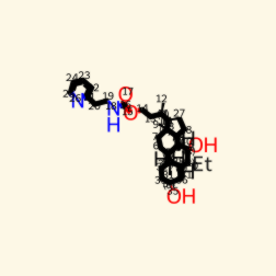 CC[C@H]1[C@@H](O)[C@@H]2[C@H](CC[C@]3(C)[C@@H]([C@H](C)CCOC(=O)NCCc4ccccn4)CC[C@@H]23)[C@@]2(C)CC[C@@H](O)C[C@@H]12